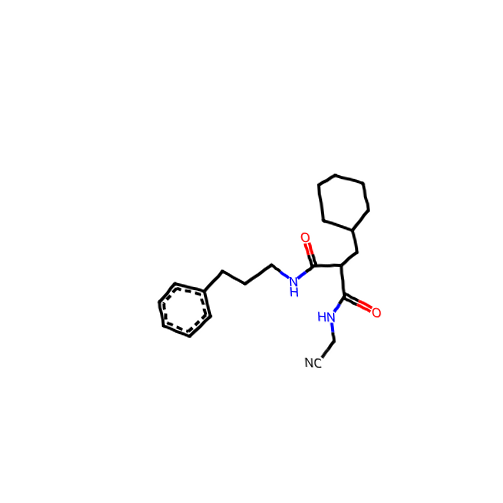 N#CCNC(=O)C(CC1CCCCC1)C(=O)NCCCc1ccccc1